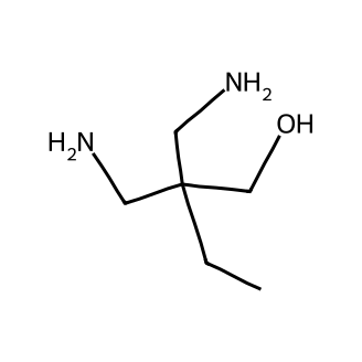 CCC(CN)(CN)CO